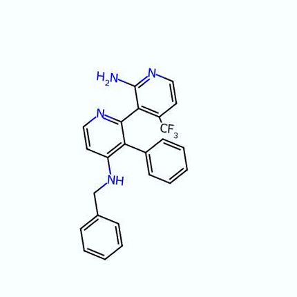 Nc1nccc(C(F)(F)F)c1-c1nccc(NCc2ccccc2)c1-c1ccccc1